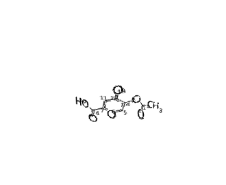 CC(=O)Oc1coc(C(=O)O)cc1=O